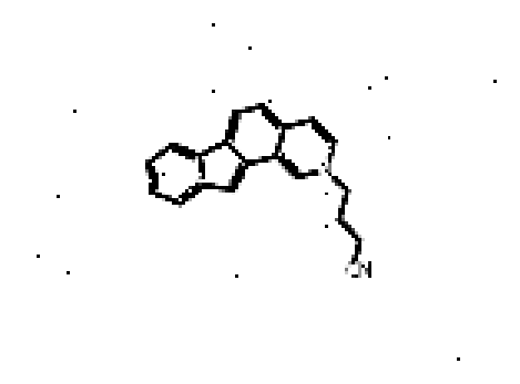 N#CCCCn1ccc2ccc3c4ccccc4cc3c2c1